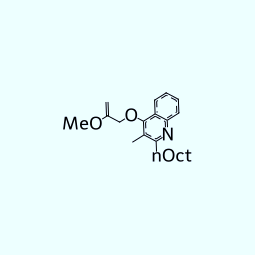 C=C(COc1c(C)c(CCCCCCCC)nc2ccccc12)OC